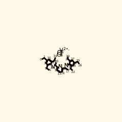 CCc1cc(CC)c(N=C(C)c2cccc(C(C)=Nc3c(CC)cc(CC)cc3CC)n2)c(CC)c1.[Cl-].[Cl-].[V+2]